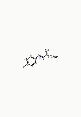 COC(=O)/C=C/c1ccc(C)nc1